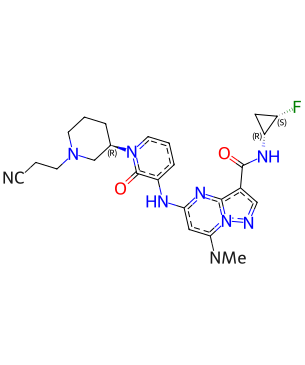 CNc1cc(Nc2cccn([C@@H]3CCCN(CCC#N)C3)c2=O)nc2c(C(=O)N[C@@H]3C[C@@H]3F)cnn12